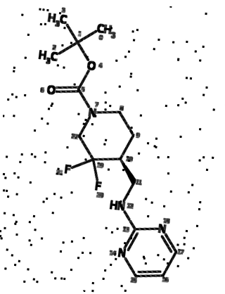 CC(C)(C)OC(=O)N1CC[C@@H](CNc2ncccn2)C(F)(F)C1